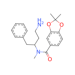 CN(C(=O)c1ccc2c(c1)OC(C)(C)O2)C(CCN)Cc1ccccc1